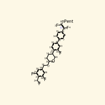 CCCCC/C(F)=C(\F)c1ccc(-c2ccc(C3CCC(CCc4cc(F)c(CF)c(F)c4)OC3)c(F)c2)cc1